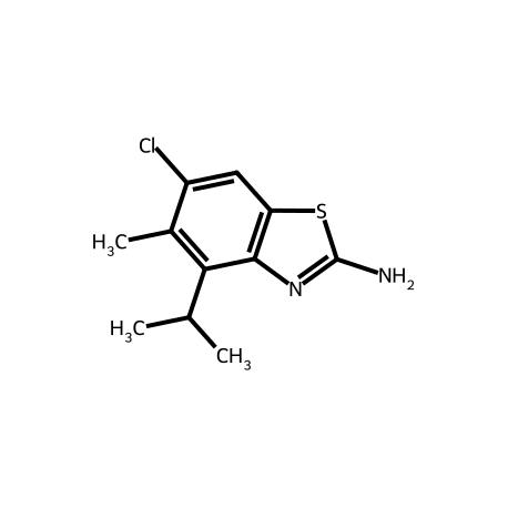 Cc1c(Cl)cc2sc(N)nc2c1C(C)C